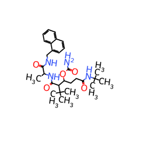 CC(NC(=O)C(C(CCC(=O)NC(C)(C)C)OC(N)=O)C(C)(C)C)C(=O)NCc1cccc2ccccc12